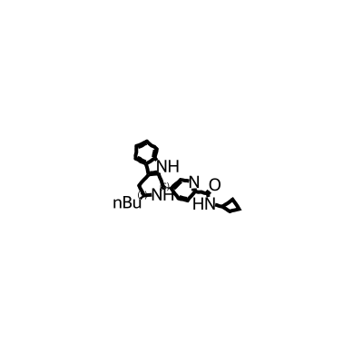 CCCC[C@H]1Cc2c([nH]c3ccccc23)[C@H](c2ccc(C(=O)NC3CCC3)nc2)N1